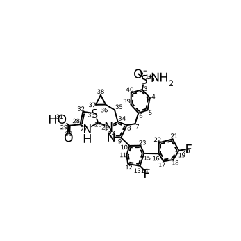 N[S+]([O-])c1ccc(Cc2c(-c3ccc(F)c(-c4ccc(F)cc4)c3)nn(C3NC(C(=O)O)=CS3)c2CC2CC2)cc1